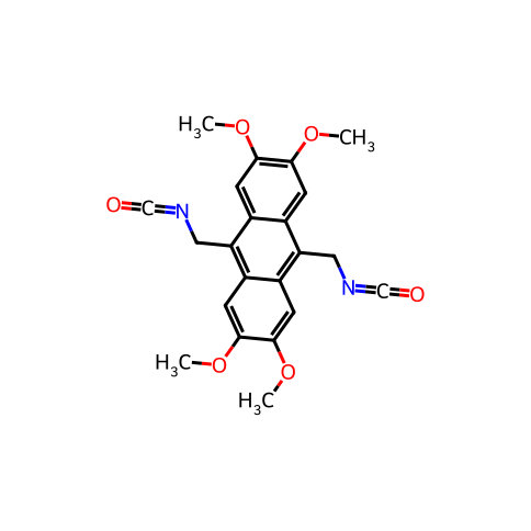 COc1cc2c(CN=C=O)c3cc(OC)c(OC)cc3c(CN=C=O)c2cc1OC